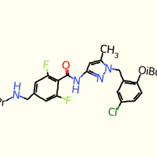 Cc1cc(NC(=O)c2c(F)cc(CNC(C)C)cc2F)nn1Cc1cc(Cl)ccc1OCC(C)C